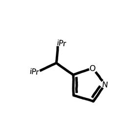 CC(C)C(c1ccno1)C(C)C